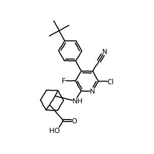 CC(C)(C)c1ccc(-c2c(F)c(NC3C4CCC(CC4)C3C(=O)O)nc(Cl)c2C#N)cc1